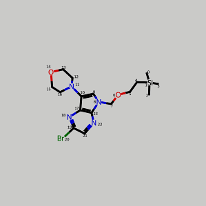 C[Si](C)(C)CCOCn1cc(N2CCOCC2)c2nc(Br)cnc21